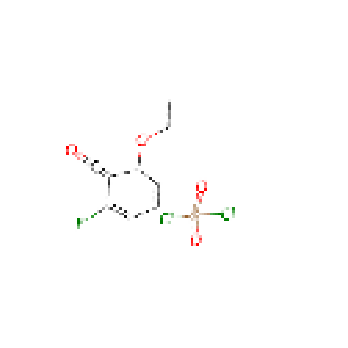 CCOC1C=CC=C(F)C1=C=O.O=S(=O)(Cl)Cl